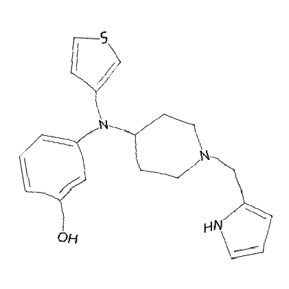 Oc1cccc(N(c2ccsc2)C2CCN(Cc3ccc[nH]3)CC2)c1